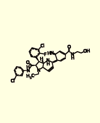 CCN1C2C#C/C(=C3\C=CC(C(=O)NCCO)=CC3=N)N[C@H]2[C@H](c2cccc(Cl)c2F)[C@@H]1C(=O)Nc1cccc(Cl)c1